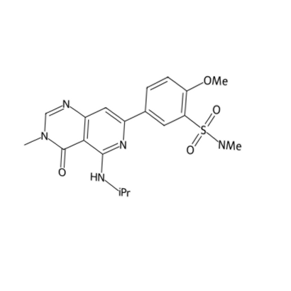 CNS(=O)(=O)c1cc(-c2cc3ncn(C)c(=O)c3c(NC(C)C)n2)ccc1OC